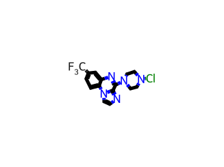 FC(F)(F)c1ccc2c(c1)nc(N1CCN(Cl)CC1)c1nccn12